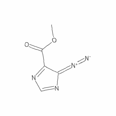 COC(=O)C1=NC=NC1=[N+]=[N-]